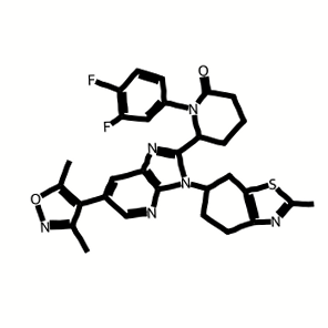 Cc1nc2c(s1)CC(n1c(C3CCCC(=O)N3c3ccc(F)c(F)c3)nc3cc(-c4c(C)noc4C)cnc31)CC2